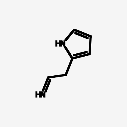 N=CCc1ccc[nH]1